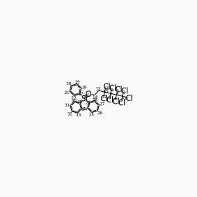 ClC(Cl)(Cl)C(Cl)(Cl)C(Cl)(Cl)C(Cl)(Cl)CCO[Si](c1ccccc1)(c1ccccc1)c1ccccc1